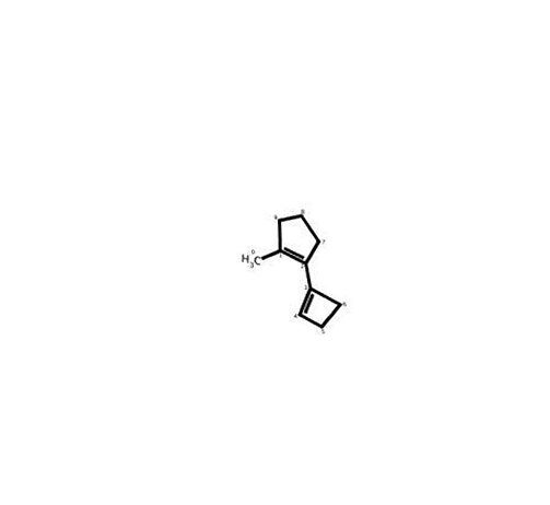 CC1=C(C2=CCC2)CCC1